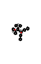 c1ccc(-c2ccc(-c3nc(-c4ccc(-c5ccccc5)cc4)nc(-c4cc(N5c6ccccc6Oc6ccccc65)cc(N5c6ccccc6Oc6ccccc65)c4)n3)cc2)cc1